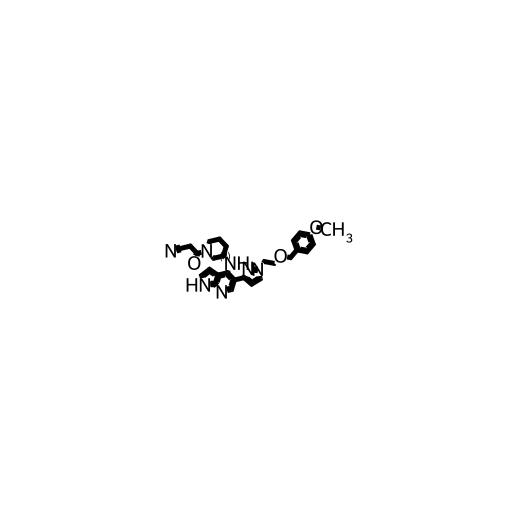 COc1ccc(COCCn2ccc(-c3cnc4[nH]ccc4c3N[C@@H]3CCCN(C(=O)CC#N)C3)n2)cc1